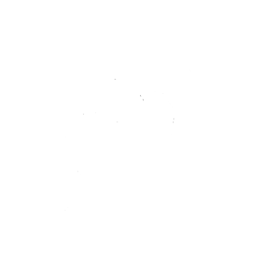 Cc1cc(OCC(=O)O)c(C)c(C)c1Cc1nc(C2CCCCC2)c(O)cc1F